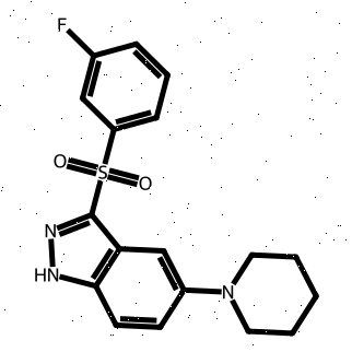 O=S(=O)(c1cccc(F)c1)c1n[nH]c2ccc(N3CCCCC3)cc12